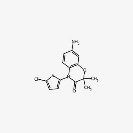 CC1(C)Oc2cc(N)ccc2N(c2ccc(Cl)s2)C1=O